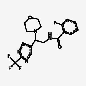 O=C(NCC(c1cnc(C(F)(F)F)nc1)N1CCOCC1)c1ccccc1F